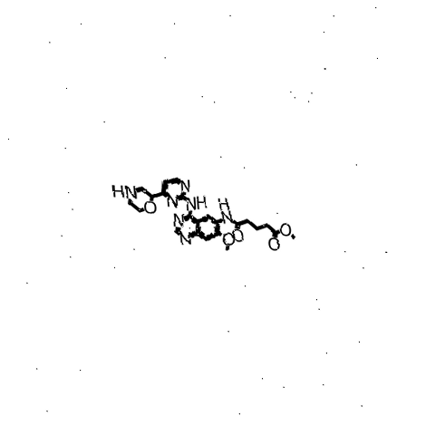 COC(=O)CCCC(=O)Nc1cc2c(Nc3nccc(C4CNCCO4)n3)ncnc2cc1OC